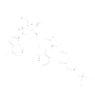 C[C@H](NP(=O)(OC[C@@]1(C#N)O[C@@H](c2ccc3c(N)ncnn23)[C@@H]2OC(C)(C)O[C@@H]21)Oc1ccccc1)C(=O)OC1CCC(NC(=O)OC(C)(C)C)CC1